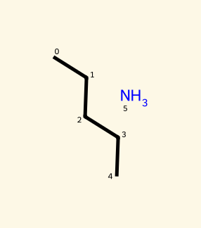 CCCCC.N